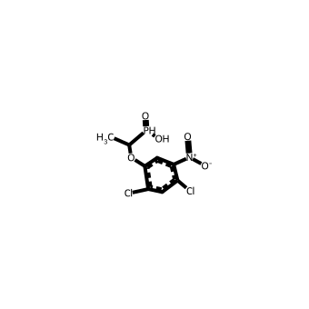 CC(Oc1cc([N+](=O)[O-])c(Cl)cc1Cl)[PH](=O)O